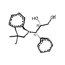 CC1(C)CN([C@@H](c2ccccc2)[C@H](O)CO)c2ccccc21